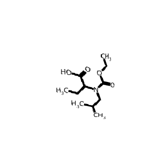 CCOC(=O)N(CC(C)C)C(CC)C(=O)O